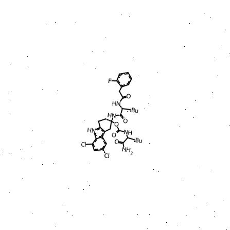 CCC(C)C(NC(=O)OC1(NC(=O)C(NC(=O)Cc2ccccc2F)C(C)CC)CCc2[nH]c3c(Cl)cc(Cl)cc3c2C1)C(N)=O